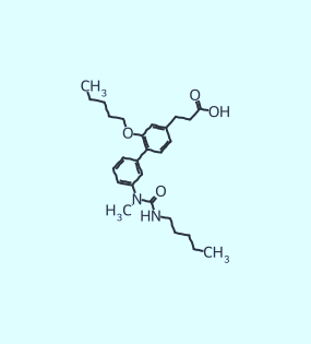 CCCCCNC(=O)N(C)c1cccc(-c2ccc(CCC(=O)O)cc2OCCCCC)c1